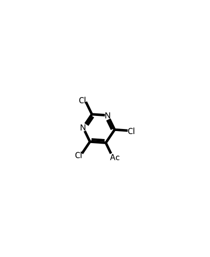 CC(=O)c1c(Cl)nc(Cl)nc1Cl